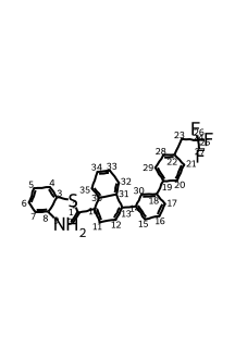 C=C(Sc1ccccc1N)c1ccc(-c2cccc(-c3ccc(CC(F)(F)F)cc3)c2)c2ccccc12